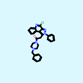 O=C(Cc1c2c(nn1-c1ccccc1)c(Cl)nc1ccccc12)N1CCN(Cc2ccccc2)CC1